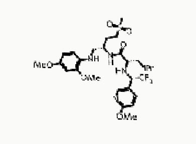 COc1ccc(NC[C@H](CCS(C)(=O)=O)NC(=O)[C@H](CC(C)C)N[C@@H](c2ccc(OC)nc2)C(F)(F)F)c(OC)c1